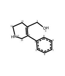 OCC1=C(c2ccccc2)CNCC1